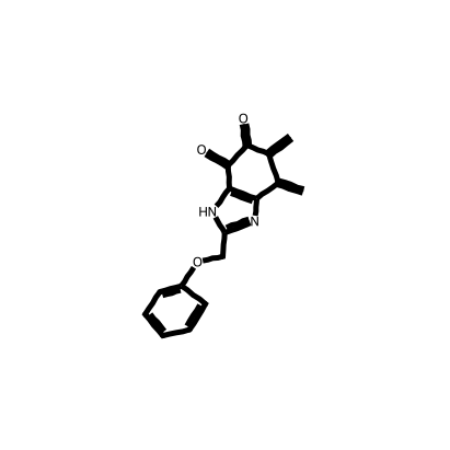 C=C1C(=C)c2nc(COc3ccccc3)[nH]c2C(=O)C1=O